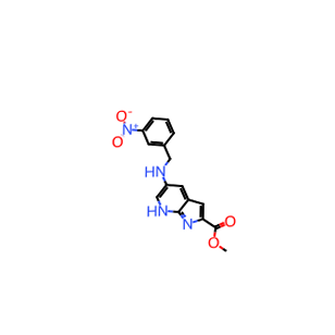 COC(=O)c1cc2cc(NCc3cccc([N+](=O)[O-])c3)c[nH]c-2n1